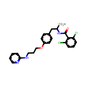 O=C(NC(Cc1ccc(OCCCNc2ccccn2)cc1)C(=O)O)c1c(Cl)cccc1Cl